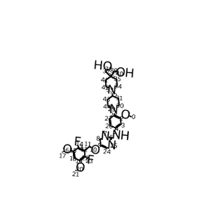 COc1cc(Nc2ncc(OCc3c(F)c(OC)cc(OC)c3F)cn2)ccc1N1CCC(N2CCC(CO)(CO)CC2)CC1